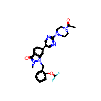 CC(=O)N1CCN(c2ncc(-c3ccc4c(=O)n(C)n(Cc5ccccc5OC(F)F)c4c3)cn2)CC1